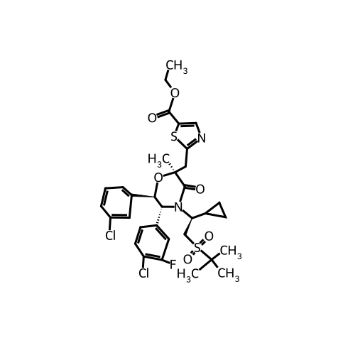 CCOC(=O)c1cnc(C[C@]2(C)O[C@H](c3cccc(Cl)c3)[C@@H](c3ccc(Cl)c(F)c3)N([C@H](CS(=O)(=O)C(C)(C)C)C3CC3)C2=O)s1